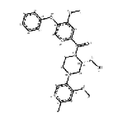 COc1cc(C(=O)N2CCN(c3cnc(C)cc3OC)C[C@H]2CO)ncc1Oc1ccccc1